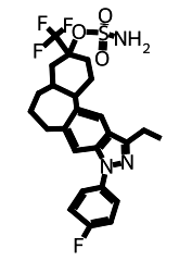 CCc1nn(-c2ccc(F)cc2)c2cc3c(cc12)C1CCC(OS(N)(=O)=O)(C(F)(F)F)CC1CCC3